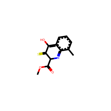 COC(=O)C1N=c2c(C)cccc2=C(O)C1=S